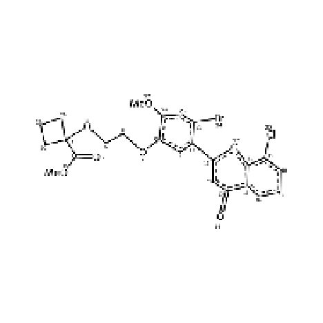 COC(=O)C1(OCCOc2cc(-c3cc(=O)c4cccc(Cl)c4o3)c(Br)cc2OC)CCC1